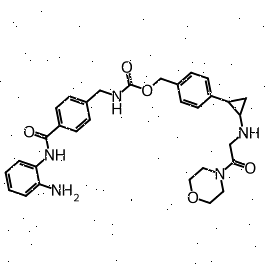 Nc1ccccc1NC(=O)c1ccc(CNC(=O)OCc2ccc(C3CC3NCC(=O)N3CCOCC3)cc2)cc1